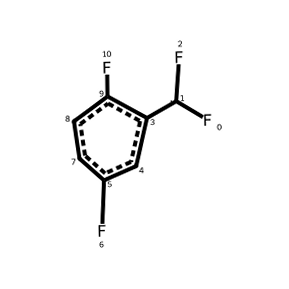 F[C](F)c1cc(F)ccc1F